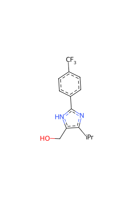 CC(C)c1nc(-c2ccc(C(F)(F)F)cc2)[nH]c1CO